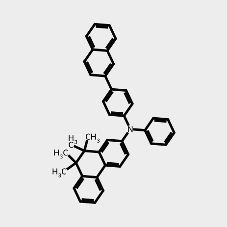 CC1(C)c2ccccc2-c2ccc(N(c3ccccc3)c3ccc(-c4ccc5ccccc5c4)cc3)cc2C1(C)C